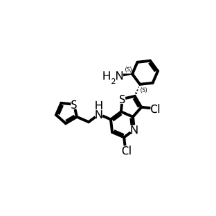 N[C@H]1CC=CC[C@@H]1c1sc2c(NCc3cccs3)cc(Cl)nc2c1Cl